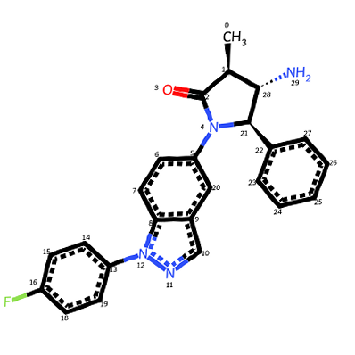 C[C@@H]1C(=O)N(c2ccc3c(cnn3-c3ccc(F)cc3)c2)[C@H](c2ccccc2)[C@H]1N